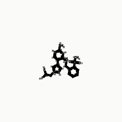 CS(=O)(=O)c1ccccc1CNc1nc(N)ncc1-c1cnn(CC(F)F)c1